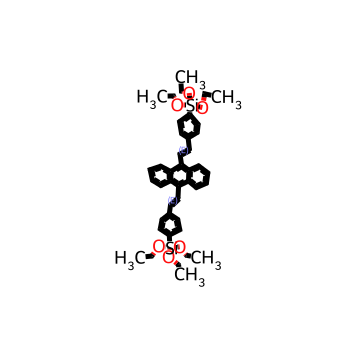 CCO[Si](OCC)(OCC)c1ccc(/C=C/c2c3ccccc3c(/C=C/c3ccc([Si](OCC)(OCC)OCC)cc3)c3ccccc23)cc1